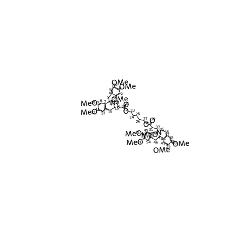 COc1ccc(C[C@@H]2c3cc(OC)c(OC)cc3CC[N+]2(CCC(=O)OCCCCCOC(=O)CC[N@@+]2(OC)CCc3cc(OC)c(OC)cc3[C@H]2Cc2ccc(OC)c(OC)c2)OC)cc1OC